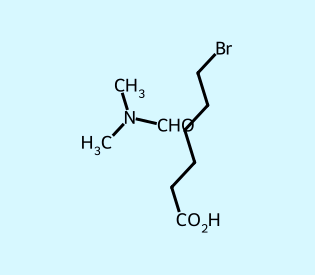 CN(C)C=O.O=C(O)CCCCCBr